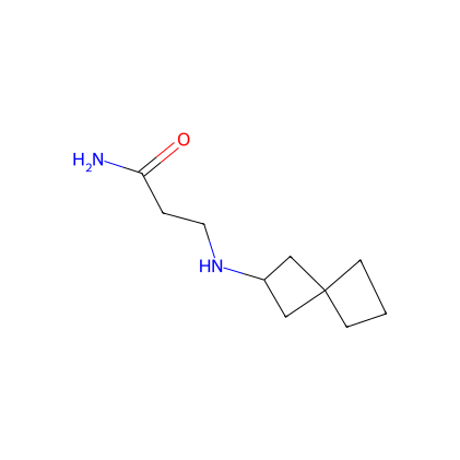 NC(=O)CCNC1CC2(CCC2)C1